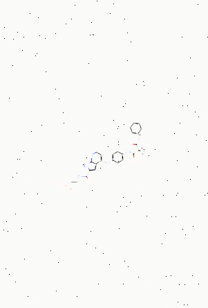 CS(=O)(=O)CCNC(=O)c1cc2c(Nc3ccc(NC(=O)C4(C(=O)Nc5ccc(F)cc5)CC4)cc3)ccnc2[nH]1